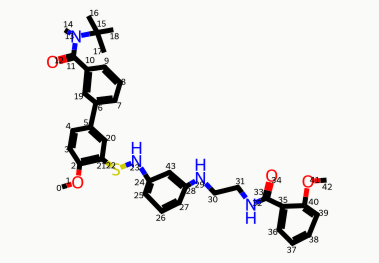 COc1ccc(-c2cccc(C(=O)N(C)C(C)(C)C)c2)cc1SNc1cccc(NCCNC(=O)c2ccccc2OC)c1